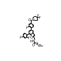 CC(C)(C)OC(=O)NCc1cc2cc(-c3ccc(C(=O)N4CCC(F)(F)CC4)cc3F)cc(-c3ccc(F)cc3F)c2o1